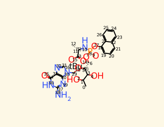 CC(O)C(O)[C@@H](COP(=O)(N[C@@H](C)C(=O)OC(C)(C)C)Oc1cccc2ccccc12)OCn1cnc2c(=O)[nH]c(N)nc21